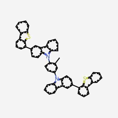 Cc1cc(-n2c3ccccc3c3cc(-c4cccc5c4sc4ccccc45)ccc32)ccc1-n1c2ccccc2c2cc(-c3cccc4c3sc3ccccc34)ccc21